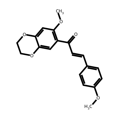 COc1ccc(/C=C/C(=O)c2cc3c(cc2OC)OCCO3)cc1